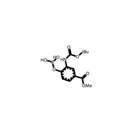 COC(=O)c1ccc(OB(O)O)c(NC(=O)OC(C)(C)C)c1